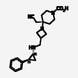 N#CCC1(N2CC(CN[C@@H]3C[C@H]3c3ccccc3)C2)CCN(C(=O)O)CC1